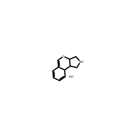 C1=CC2=COC3CNCC3C2C=C1.Cl